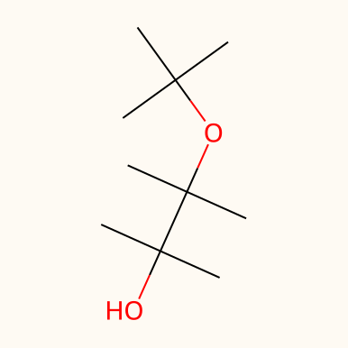 CC(C)(C)OC(C)(C)C(C)(C)O